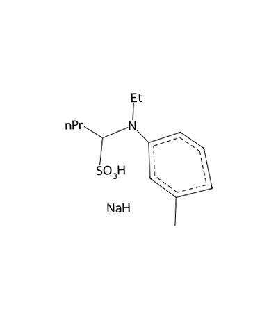 CCCC(N(CC)c1cccc(C)c1)S(=O)(=O)O.[NaH]